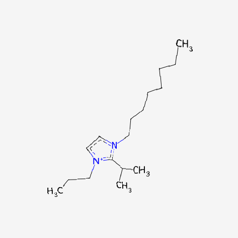 CCCCCCCCn1cc[n+](CCC)c1C(C)C